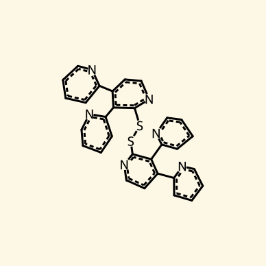 c1ccc(-c2ccnc(SSc3nccc(-c4ccccn4)c3-c3ccccn3)c2-c2ccccn2)nc1